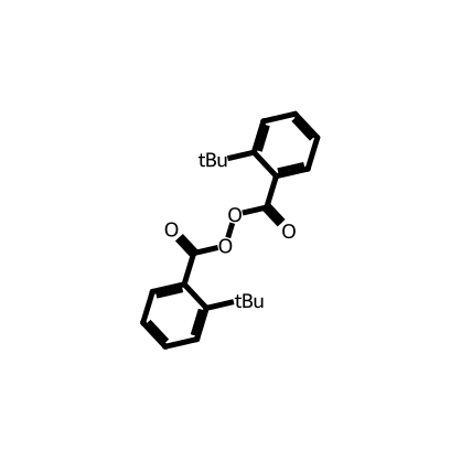 CC(C)(C)c1ccccc1C(=O)OOC(=O)c1ccccc1C(C)(C)C